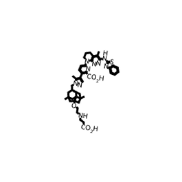 Cc1c(Nc2nc3ccccc3s2)nnc2c1CCCN2c1ccc(-c2cnn(CC34CC5(C)CC6(OCCNCCC(=O)O)CC(C)(C3)C6(C5)C4)c2C)c(C(=O)O)n1